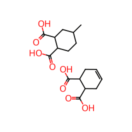 CC1CCC(C(=O)O)C(C(=O)O)C1.O=C(O)C1CC=CCC1C(=O)O